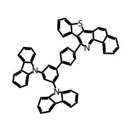 c1ccc2c(c1)ccc1c2nc(-c2ccc(-c3cc(-n4c5ccccc5c5ccccc54)cc(-n4c5ccccc5c5ccccc54)c3)cc2)c2c3ccccc3sc12